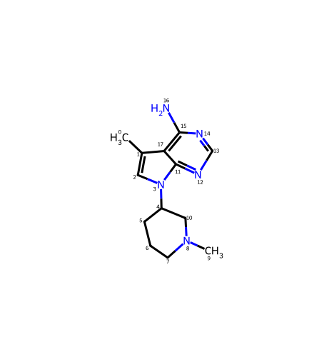 Cc1cn(C2CCCN(C)C2)c2ncnc(N)c12